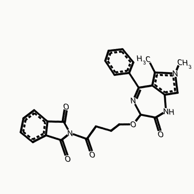 Cc1c2c(cn1C)NC(=O)C(OCCCC(=O)N1C(=O)c3ccccc3C1=O)N=C2c1ccccc1